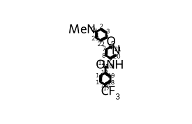 CNc1ccc(Oc2ccc(NC(=O)c3ccc(C(F)(F)F)cc3)cn2)cc1